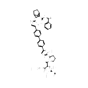 COC(=O)N[C@H](C(=O)N1CCC[C@H]1c1ncc(-c2ccc(-c3ccc(-c4cnc([C@@H]5C6CCC(C6)[C@H]5C(=O)N[C@@H](C)c5ccccc5)[nH]4)cc3)cc2)[nH]1)[C@@H](C)OC